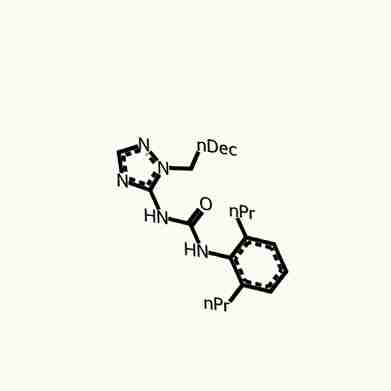 CCCCCCCCCCCn1ncnc1NC(=O)Nc1c(CCC)cccc1CCC